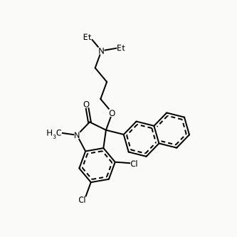 CCN(CC)CCCOC1(c2ccc3ccccc3c2)C(=O)N(C)c2cc(Cl)cc(Cl)c21